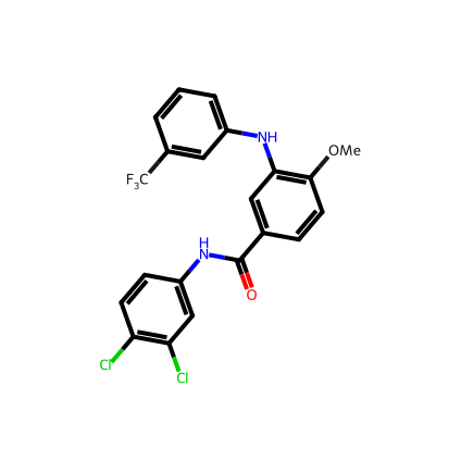 COc1ccc(C(=O)Nc2ccc(Cl)c(Cl)c2)cc1Nc1cccc(C(F)(F)F)c1